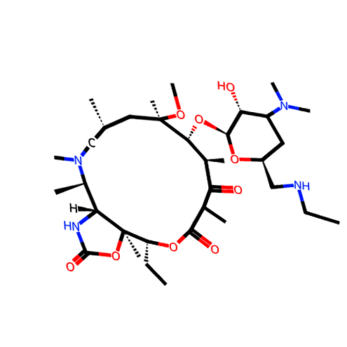 CCNC[C@@H]1CC(N(C)C)[C@@H](O)[C@H](O[C@@H]2[C@@H](C)C(=O)C(C)C(=O)O[C@H](CC)[C@@]3(C)OC(=O)N[C@@H]3[C@@H](C)N(C)C[C@H](C)C[C@@]2(C)OC)O1